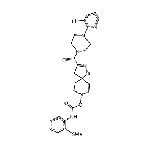 CSc1ccccc1NC(=O)ON1CCC2(CC1)CC(C(=O)N1CCN(c3ncccc3Cl)CC1)=NO2